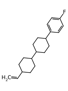 C=CC1CCC(C2CCC(c3ccc(F)cc3)CC2)CC1